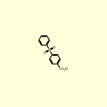 CCOC(=O)c1ccc(S(=O)(=O)c2ccccc2)cc1